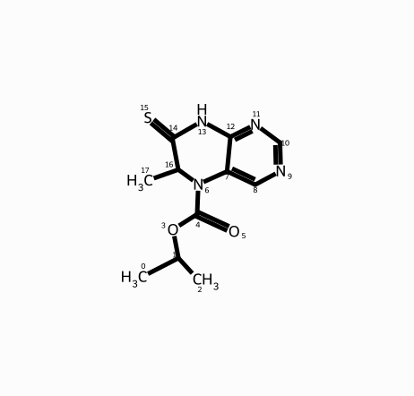 CC(C)OC(=O)N1c2cncnc2NC(=S)C1C